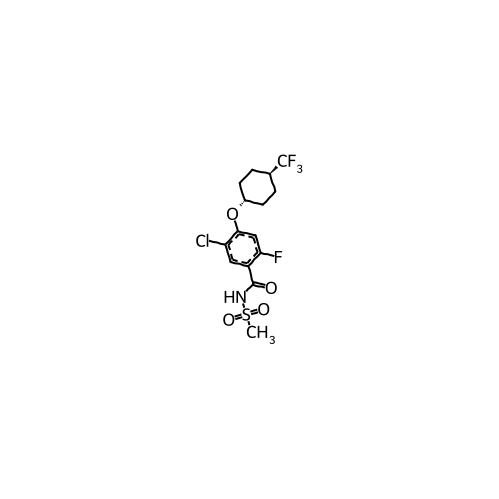 CS(=O)(=O)NC(=O)c1cc(Cl)c(O[C@H]2CC[C@H](C(F)(F)F)CC2)cc1F